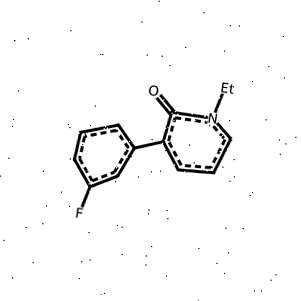 CCn1cccc(-c2cc[c]c(F)c2)c1=O